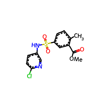 COC(=O)c1cc(S(=O)(=O)Nc2ccc(Cl)nc2)ccc1C